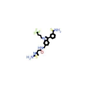 NC(=S)c1cccc(-c2cn(CCCC(F)(F)F)c3cc(CNC(=O)Cc4csc(N)n4)ccc23)c1